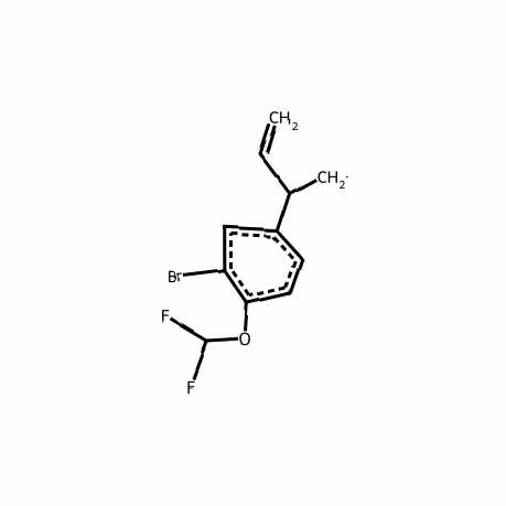 [CH2]C(C=C)c1ccc(OC(F)F)c(Br)c1